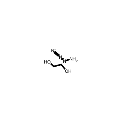 OCCO.[N-]=[N+]=NN